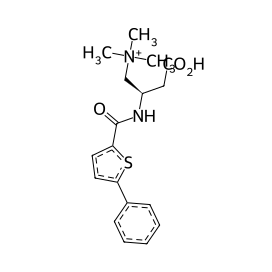 C[N+](C)(C)C[C@@H](CC(=O)O)NC(=O)c1ccc(-c2ccccc2)s1